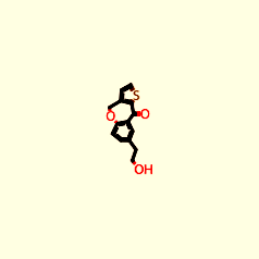 O=C1c2cc(CCO)ccc2OCc2ccsc21